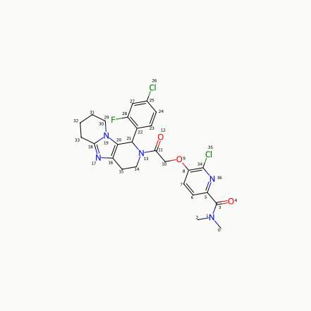 CN(C)C(=O)c1ccc(OCC(=O)N2CCc3nc4n(c3C2c2ccc(Cl)cc2F)CCCC4)c(Cl)n1